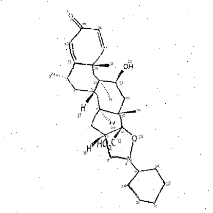 C[C@H]1C[C@H]2[C@@H]3C[C@H]4CN(C5CCCCC5)O[C@@]4(C(=O)O)[C@@]3(C)C[C@H](O)[C@]2(C)[C@@]2(C)C=CC(=O)C=C12